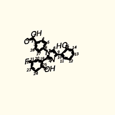 O=C(O)c1ccc(-n2cc(-c3ccccc3O)nc2-c2cc(F)ccc2O)cc1